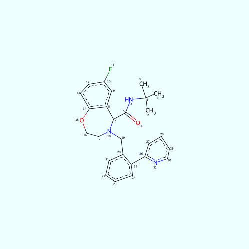 CC(C)(C)NC(=O)C1c2cc(F)ccc2OCCN1Cc1ccccc1-c1ccccn1